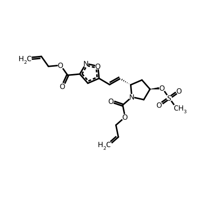 C=CCOC(=O)c1cc(/C=C/[C@@H]2C[C@@H](OS(C)(=O)=O)CN2C(=O)OCC=C)on1